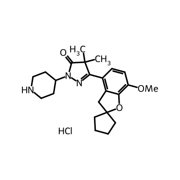 COc1ccc(C2=NN(C3CCNCC3)C(=O)C2(C)C)c2c1OC1(CCCC1)C2.Cl